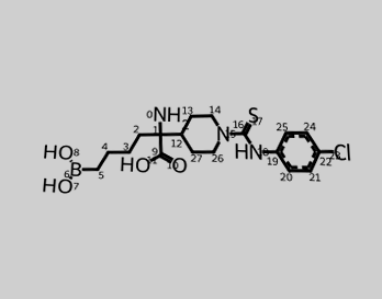 NC(CCCCB(O)O)(C(=O)O)C1CCN(C(=S)Nc2ccc(Cl)cc2)CC1